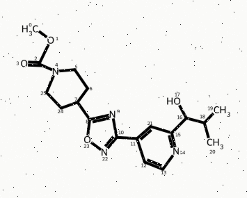 COC(=O)N1CCC(c2nc(-c3ccnc(C(O)C(C)C)c3)no2)CC1